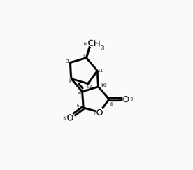 CC1CC2=C3C(=O)OC(=O)C3C1C2